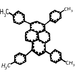 Cc1ccc(-c2cc(-c3ccc(C)cc3)c3ccc4c(-c5ccc(C)cc5)cc(-c5ccc(C)cc5)c5ccc2c3c54)cc1